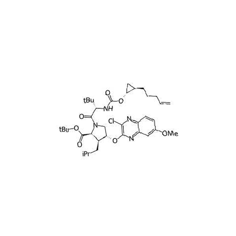 C=CCCC[C@@H]1C[C@H]1OC(=O)N[C@H](C(=O)N1C[C@H](Oc2nc3cc(OC)ccc3nc2Cl)[C@@H](CC(C)C)[C@H]1C(=O)OC(C)(C)C)C(C)(C)C